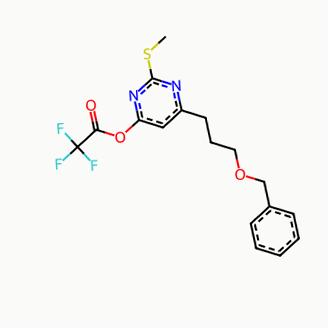 CSc1nc(CCCOCc2ccccc2)cc(OC(=O)C(F)(F)F)n1